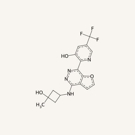 CC1(O)CC(Nc2nnc(-c3ncc(C(F)(F)F)cc3O)c3occc23)C1